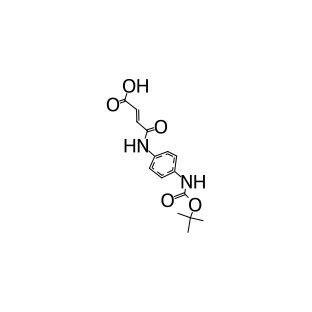 CC(C)(C)OC(=O)Nc1ccc(NC(=O)/C=C/C(=O)O)cc1